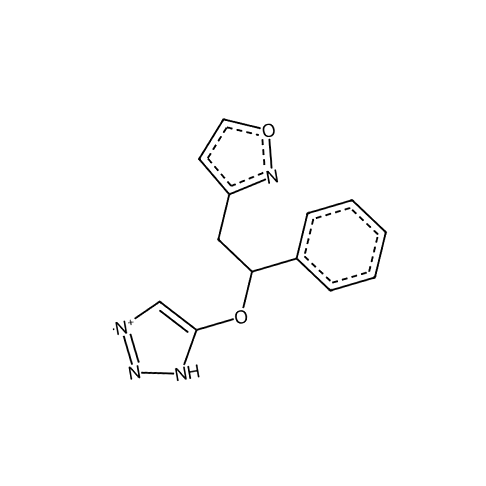 C1=C(OC(Cc2ccon2)c2ccccc2)NN=[N+]1